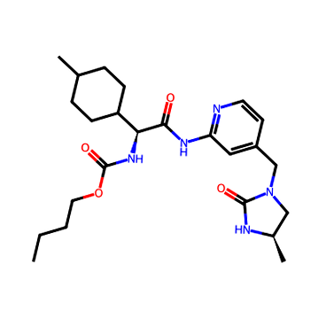 CCCCOC(=O)N[C@H](C(=O)Nc1cc(CN2C[C@@H](C)NC2=O)ccn1)C1CCC(C)CC1